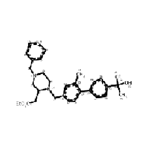 CCOC(=O)CC1CN(Cc2ccncc2)CCN1Cc1ccc(-c2ccc(C(C)(O)C(F)(F)F)cc2)c(C)c1